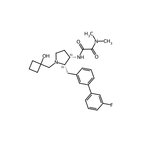 CN(C)C(=O)C(=O)N[C@H]1CCN(CC2(O)CCC2)[C@H]1Cc1cccc(-c2cccc(F)c2)c1